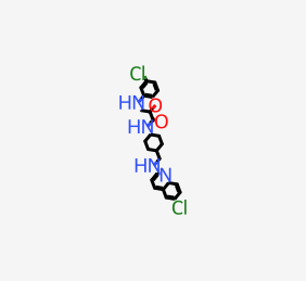 O=C(NC1CCC(CNc2ccc3cc(Cl)ccc3n2)CC1)C1CNc2cc(Cl)ccc2O1